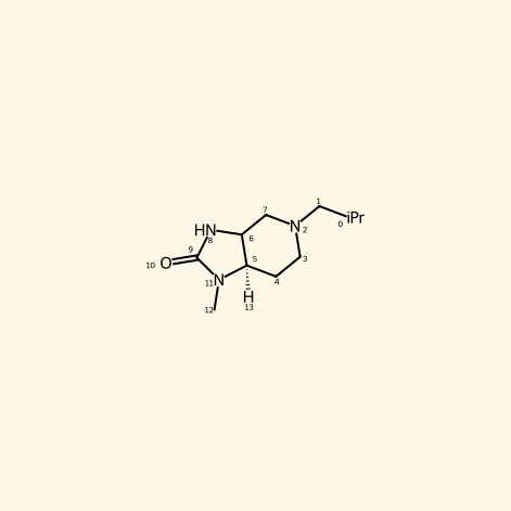 CC(C)CN1CC[C@@H]2C(C1)NC(=O)N2C